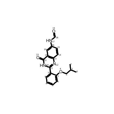 CC(C)COc1ccccc1-c1nc2ccc(NC=O)cc2c(=O)[nH]1